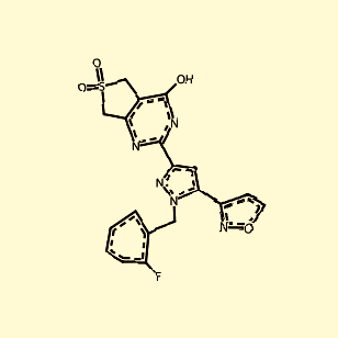 O=S1(=O)Cc2nc(-c3cc(-c4ccon4)n(Cc4ccccc4F)n3)nc(O)c2C1